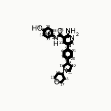 Nc1ncc(-c2ccc(C3CCN(C4CCOCC4)C3)cc2)cc1C(=O)NC12CCC(O)(CC1)CC2